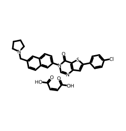 O=C(O)/C=C\C(=O)O.O=c1c2sc(-c3ccc(Cl)cc3)cc2ncn1-c1ccc2cc(CN3CCCC3)ccc2c1